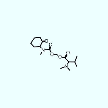 CC(C)C(C(=O)OCOC(=O)N(C)C1CCCCC1=O)N(C)C